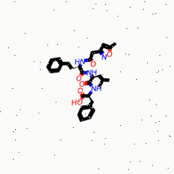 Cc1cc(CC(=O)N[C@@H](CCc2ccccc2)C(=O)N[C@@H](CC(C)C)C(=O)N[C@@H](Cc2ccccc2)C(=O)O)no1